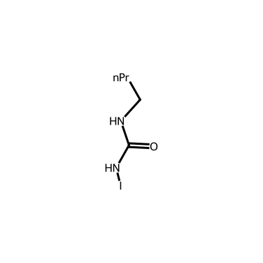 CCCCNC(=O)NI